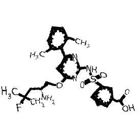 Cc1cccc(C)c1-c1cc(OC[C@H](N)CC(C)(C)F)nc(NS(=O)(=O)c2cccc(C(=O)O)c2)n1